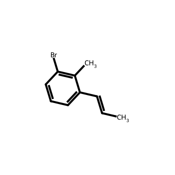 CC=Cc1cccc(Br)c1C